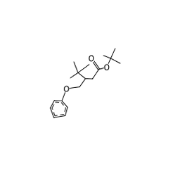 CC(C)(C)OC(=O)CC(COc1ccccc1)C(C)(C)C